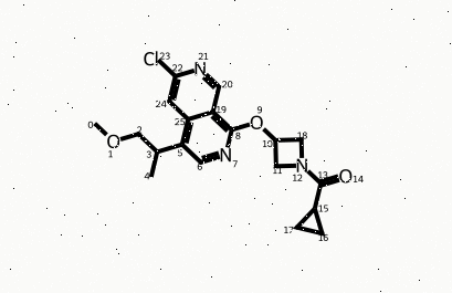 COCC(C)c1cnc(OC2CN(C(=O)C3CC3)C2)c2cnc(Cl)cc12